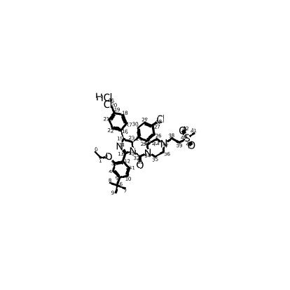 CCOc1cc(C(C)(C)C)ccc1C1=N[C@@H](c2ccc(Cl)cc2)[C@@H](c2ccc(Cl)cc2)N1C(=O)N1CCN(CCS(C)(=O)=O)CC1.Cl